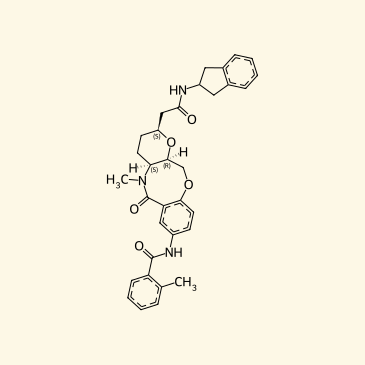 Cc1ccccc1C(=O)Nc1ccc2c(c1)C(=O)N(C)[C@H]1CC[C@@H](CC(=O)NC3Cc4ccccc4C3)O[C@H]1CO2